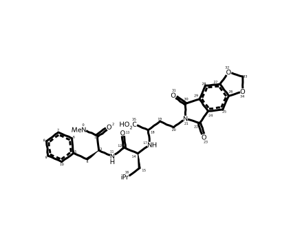 CNC(=O)[C@H](Cc1ccccc1)NC(=O)[C@H](CC(C)C)NC(CCN1C(=O)c2cc3c(cc2C1=O)OCO3)C(=O)O